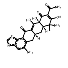 CC1(N)C(O)=C(C(N)=O)C(=O)[C@@]2(O)C(O)=C3C(=O)c4c(c(N)cc5ncoc45)C[C@H]3C[C@@H]12